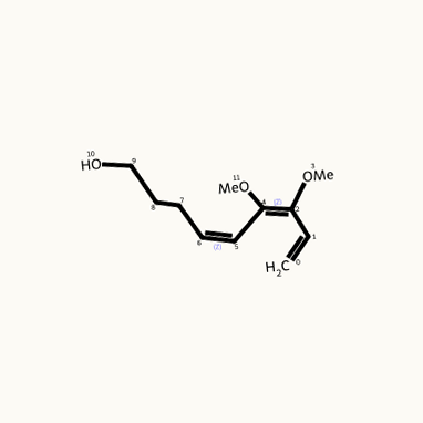 C=C/C(OC)=C(\C=C/CCCO)OC